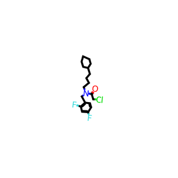 O=C(CCl)N(CCCCC1CCCCC1)Cc1ccc(F)cc1F